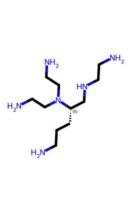 NCCC[C@@H](CNCCN)N(CCN)CCN